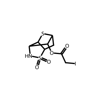 O=C(CI)OC1C2CC3C(S2)C1NS3(=O)=O